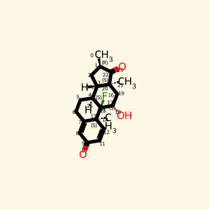 C[C@@H]1C[C@H]2[C@@H]3CCC4=CC(=O)C=C[C@]4(C)[C@@]3(F)[C@@H](O)C[C@]2(C)C1=O